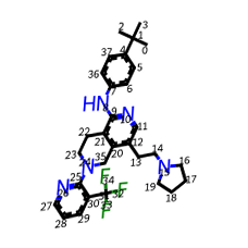 CC(C)(C)c1ccc(Nc2ncc(CCN3CCCC3)c3c2CCN(c2ncccc2C(F)(F)F)C3)cc1